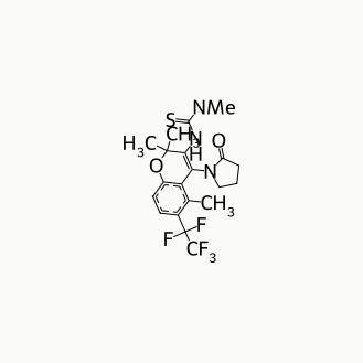 CNC(=S)NC1=C(N2CCCC2=O)c2c(ccc(C(F)(F)C(F)(F)F)c2C)OC1(C)C